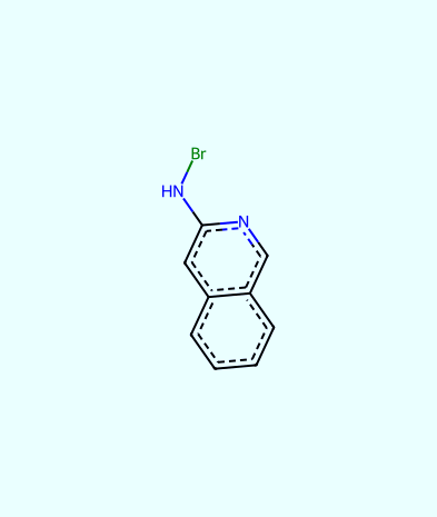 BrNc1cc2ccccc2cn1